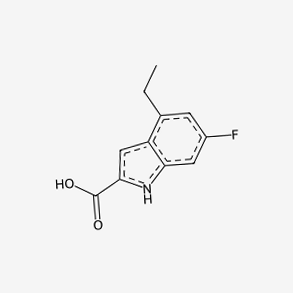 CCc1cc(F)cc2[nH]c(C(=O)O)cc12